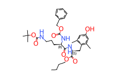 CCCCOC(=O)[C@H](Cc1c(C)cc(O)cc1C)NC(=O)[C@@H](CCCNC(=O)OC(C)(C)C)NC(=O)OCc1ccccc1